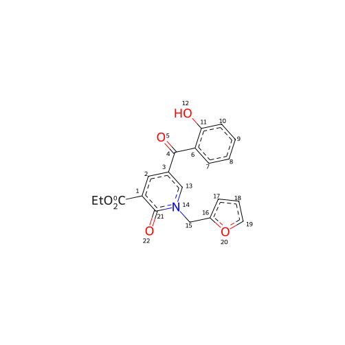 CCOC(=O)c1cc(C(=O)c2ccccc2O)cn(Cc2ccco2)c1=O